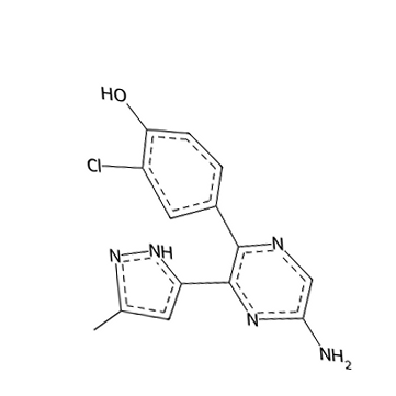 Cc1cc(-c2nc(N)cnc2-c2ccc(O)c(Cl)c2)[nH]n1